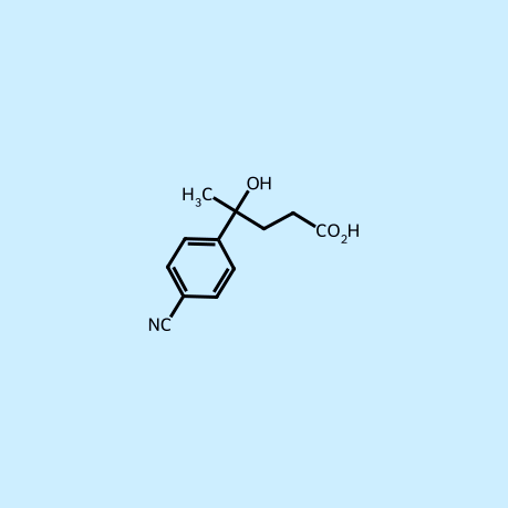 CC(O)(CCC(=O)O)c1ccc(C#N)cc1